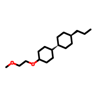 CCC[C@H]1CC[C@H](C2CCC(OCCOC)CC2)CC1